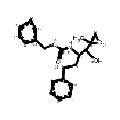 CC1(C(O)C(CCc2ccccc2)NC(=O)OCc2ccccc2)CO1